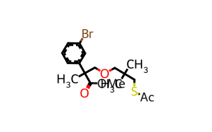 COC(=O)C(C)(COCC(C)(C)CSC(C)=O)c1cccc(Br)c1